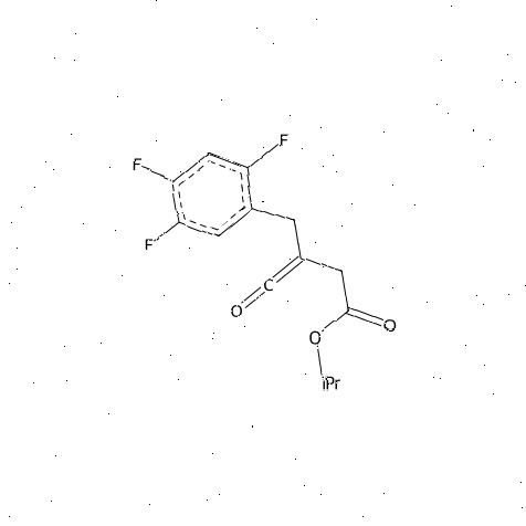 CC(C)OC(=O)CC(=C=O)Cc1cc(F)c(F)cc1F